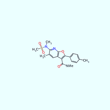 CNC(=O)c1c(-c2ccc(C)cc2)oc2nc(N(C)S(C)(=O)=O)c(C)cc12